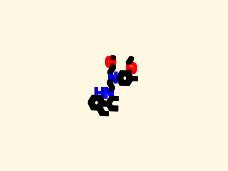 C=C/C(=c1/cccc/c1=C/C)C(C)NCCN(CCOC)c1ccc(C)c(OCC)c1